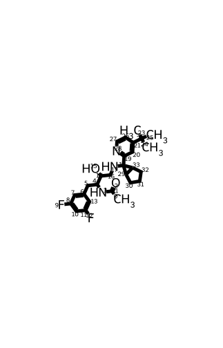 CC(=O)NC(Cc1cc(F)cc(F)c1)C(O)CNC1(c2cc(C(C)(C)C)ccn2)C2CCCC21